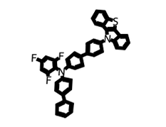 Fc1cc(F)c(N(c2ccc(-c3ccccc3)cc2)c2ccc(-c3ccc(-n4c5ccccc5c5sc6ccccc6c54)cc3)cc2)c(F)c1